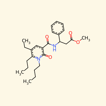 CCCCn1c(CCC)c(CC)cc(C(=O)NC(CC(=O)OC)c2ccccc2)c1=O